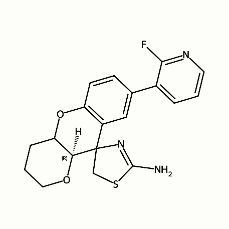 NC1=NC2(CS1)c1cc(-c3cccnc3F)ccc1OC1CCCO[C@@H]12